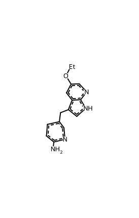 CCOc1cnc2[nH]cc(Cc3ccc(N)nc3)c2c1